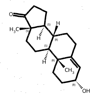 C[C@]12CC[C@@H](O)C=C1CC[C@@H]1[C@@H]2CC[C@]2(C)C(=O)CC[C@@H]12